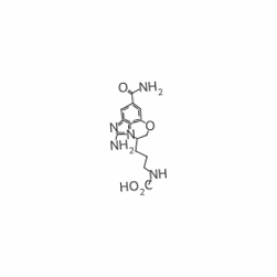 NC(=O)c1cc2c3c(c1)nc(N)n3C(CCCNC(=O)O)CO2